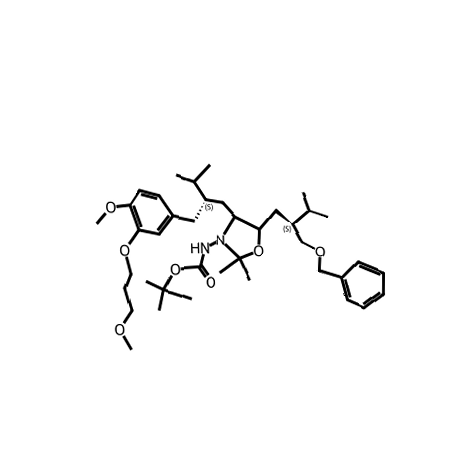 COCCCOc1cc(C[C@@H](CC2C(C[C@H](COCc3ccccc3)C(C)C)OC(C)(C)N2NC(=O)OC(C)(C)C)C(C)C)ccc1OC